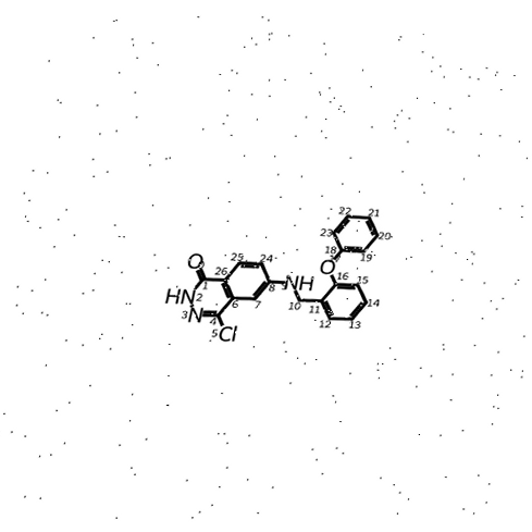 O=c1[nH]nc(Cl)c2cc(NCc3ccccc3Oc3ccccc3)ccc12